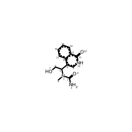 CN(C(N)=O)C(CO)c1c[nH]c(=O)c2ccccc12